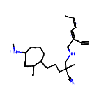 C#C/C(=C\C=C/C)CNCC(C)(C#N)CCCC1CCCC(NC)CC1C